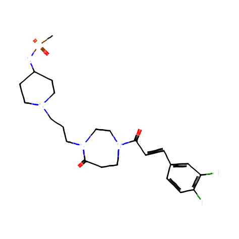 CS(=O)(=O)NC1CCN(CCCN2CCN(C(=O)/C=C/c3ccc(F)c(Cl)c3)CCC2=O)CC1